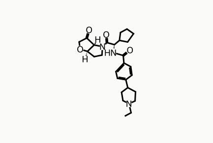 CCN1CCC(c2ccc(C(=O)N[C@H](C(=O)N3CC[C@H]4OCC(=O)[C@H]43)C3CCCC3)cc2)CC1